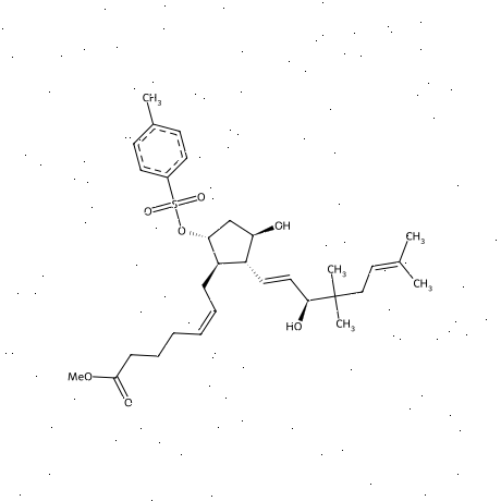 COC(=O)CCC/C=C\C[C@@H]1[C@@H](/C=C/[C@H](O)C(C)(C)CC=C(C)C)[C@H](O)C[C@H]1OS(=O)(=O)c1ccc(C)cc1